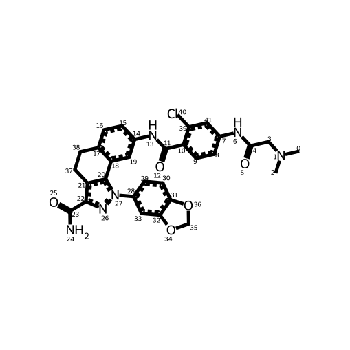 CN(C)CC(=O)Nc1ccc(C(=O)Nc2ccc3c(c2)-c2c(c(C(N)=O)nn2-c2ccc4c(c2)OCO4)CC3)c(Cl)c1